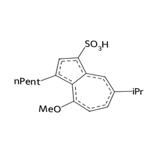 CCCCCc1cc(S(=O)(=O)O)c2cc(C(C)C)ccc(OC)c1-2